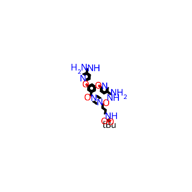 CC(C)(C)OC(=O)NCCCC(=O)N1CCN(C(=O)c2cc(Oc3ccc(C(=N)N)cn3)cc(Oc3ccc(C(=N)N)cn3)c2)CC1